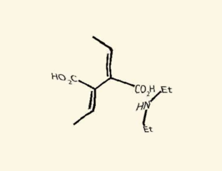 CC=C(C(=O)O)C(=CC)C(=O)O.CCNCC